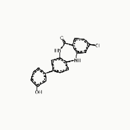 O=C1Nc2cc(-c3cccc(O)c3)ccc2Nc2cc(Cl)ccc21